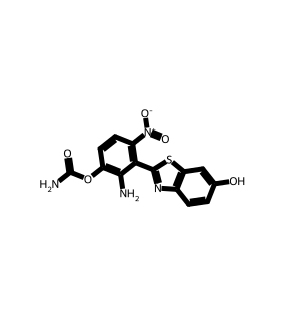 NC(=O)Oc1ccc([N+](=O)[O-])c(-c2nc3ccc(O)cc3s2)c1N